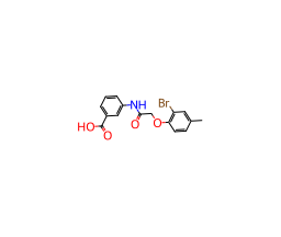 Cc1ccc(OCC(=O)Nc2cccc(C(=O)O)c2)c(Br)c1